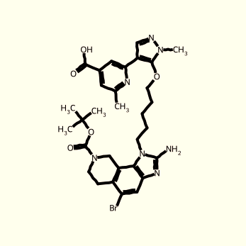 Cc1cc(C(=O)O)cc(-c2cnn(C)c2OCCCCCn2c(N)nc3cc(Br)c4c(c32)CN(C(=O)OC(C)(C)C)CC4)n1